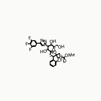 COC(=O)N1CC(O)(C(S[C@@H]2O[C@H](CO)[C@H](O)[C@H](n3cc(-c4cc(F)c(F)c(F)c4)nn3)[C@H]2O)c2ccccc2C(F)(F)F)C1